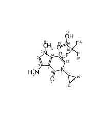 Cn1cc(N)c2c(=O)n(C3CC3)ccc21.O=C(O)C(F)(F)F